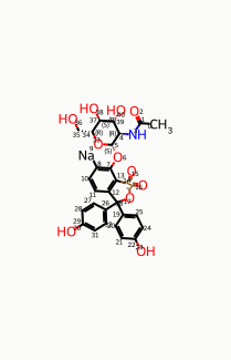 CC(=O)N[C@H]1[C@H](Oc2[c]([Na])ccc3c2S(=O)(=O)OC3(c2ccc(O)cc2)c2ccc(O)cc2)O[C@H](CO)[C@@H](O)[C@@H]1O